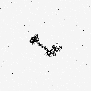 O=C1CCC(N2Cc3c(SCCCCCCNC(=O)C45CC6CC(CC(Cl)(C6)C4)C5)cccc3C2=O)C(=O)N1